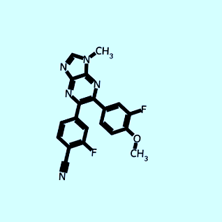 COc1ccc(-c2nc3c(ncn3C)nc2-c2ccc(C#N)c(F)c2)cc1F